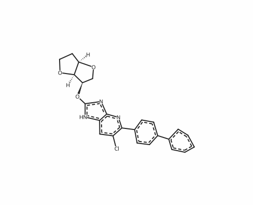 Clc1cc2[nH]c(O[C@@H]3CO[C@@H]4CCO[C@@H]43)nc2nc1-c1ccc(-c2ccccc2)cc1